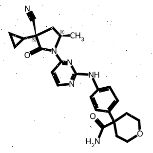 C[C@@H]1C[C@@](C#N)(C2CC2)C(=O)N1c1ccnc(Nc2ccc(C3(C(N)=O)CCOCC3)cc2)n1